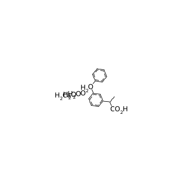 CC(C(=O)O)c1cccc(Oc2ccccc2)c1.O.O.O.[CaH2]